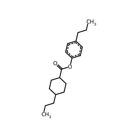 CCCc1ccc(OC(=O)C2CCC(CCC)CC2)cc1